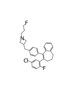 FCCCN1CC(Cc2ccc(C3=C(c4cc(Cl)ccc4F)CCCc4ccccc43)cc2)C1